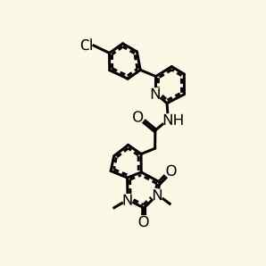 Cn1c(=O)c2c(CC(=O)Nc3cccc(-c4ccc(Cl)cc4)n3)cccc2n(C)c1=O